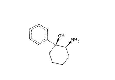 N[C@H]1CCCC[C@]1(O)c1ccccc1